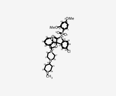 COc1ccc(S(=O)(=O)N2C(=O)C(OC(=O)N3CCN(C4CCN(C)CC4)CC3)(c3ccccn3)c3cc(Cl)ccc32)c(OC)c1